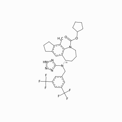 Cc1c2c(cc3c1N(C(=O)OC1CCCC1)CCC[C@@H]3N(Cc1cc(C(F)(F)F)cc(C(F)(F)F)c1)c1nn[nH]n1)CCC2